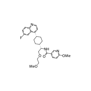 COCCOCC(NC(=O)c1ccc(OC)nc1)[C@H]1CC[C@@H](c2ccnc3ccc(F)cc32)CC1